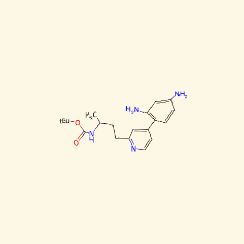 CC(CCc1cc(-c2ccc(N)cc2N)ccn1)NC(=O)OC(C)(C)C